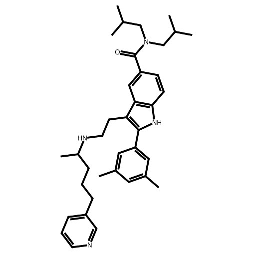 Cc1cc(C)cc(-c2[nH]c3ccc(C(=O)N(CC(C)C)CC(C)C)cc3c2CCNC(C)CCCc2cccnc2)c1